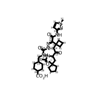 CCC(=O)NC(CC1(C)CCCC1)C(=O)CC1(C(=NNC(=O)NCC2CCC(C(=O)O)CC2)C(=O)Nc2ccn(C)n2)CCC1